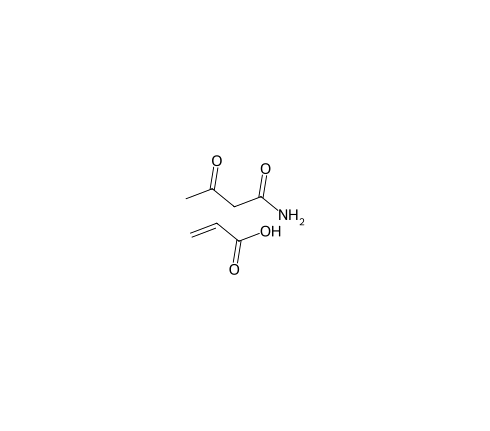 C=CC(=O)O.CC(=O)CC(N)=O